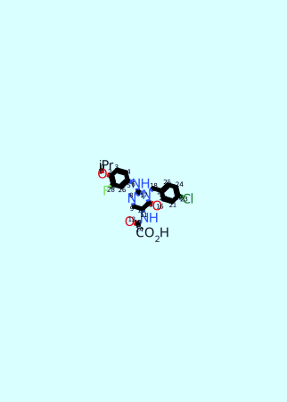 CC(C)Oc1ccc(NC2=NCC(NC(=O)C(=O)O)C(=O)N2Cc2ccc(Cl)cc2)cc1F